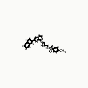 Cc1ccc(S(=O)(=O)NCCCNc2nccn3cc(-c4ccc5ccccc5c4)nc23)cc1